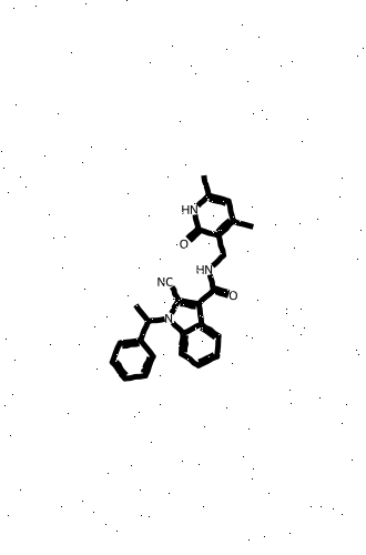 Cc1cc(C)c(CNC(=O)c2c(C#N)n(C(C)c3ccccc3)c3ccccc23)c(=O)[nH]1